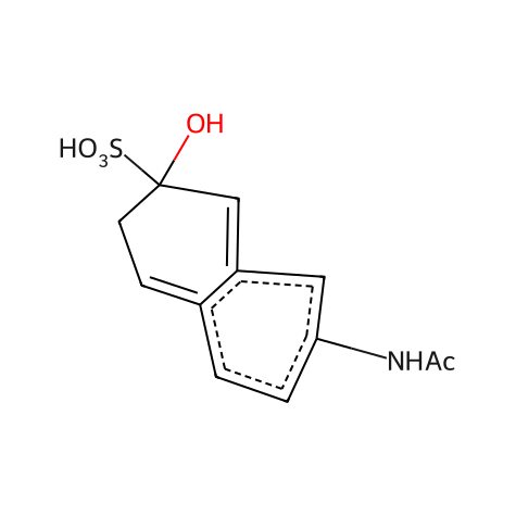 CC(=O)Nc1ccc2c(c1)=CC(O)(S(=O)(=O)O)CC=2